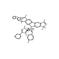 CC1=CC(C)(C)c2cc3c(cc21)-c1cc2c(cc1[CH]3/[Zr+2](=[CH]/c1ccc(C)cc1)[C]1=C(C)C(c3ccccc3)=CC1C)C(C)(C)C=C2C.[Cl-].[Cl-]